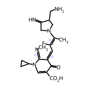 C\N=C1/C(=C\C(F)=C(/C)N2CC(=N)C(CN)C2)C(=O)C(C(=O)O)=CN1C1CC1